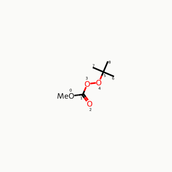 COC(=O)OOC(C)(C)C